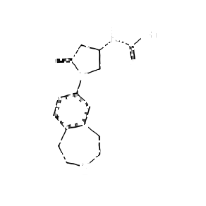 O=C(O)NC1CC(=O)N(c2ccc3c(c2)CCNCC3)C1